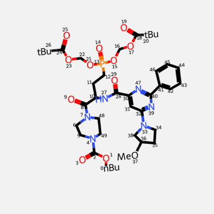 CCCCOC(=O)N1CCN(C(=O)C(CCP(=O)(OCOC(=O)C(C)(C)C)OCOC(=O)C(C)(C)C)NC(=O)c2cc(N3CCC(OC)C3)nc(-c3ccccc3)n2)CC1